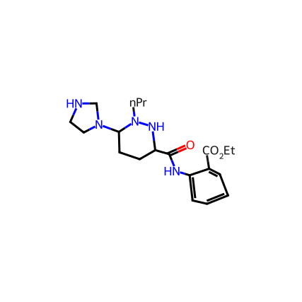 CCCN1NC(C(=O)Nc2ccccc2C(=O)OCC)CCC1N1CCNC1